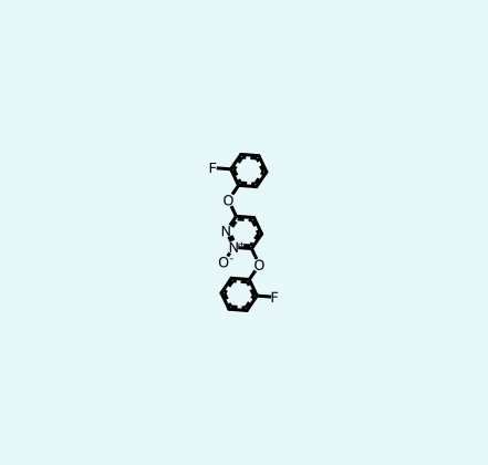 [O-][n+]1nc(Oc2ccccc2F)ccc1Oc1ccccc1F